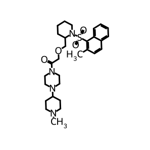 Cc1ccc2ccccc2c1S(=O)(=O)N1CCCCC1COCC(=O)N1CCN(C2CCN(C)CC2)CC1